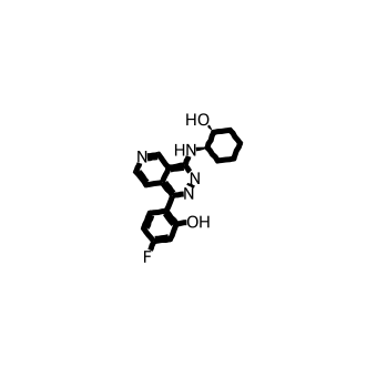 Oc1cc(F)ccc1-c1nnc(N[C@@H]2CCCC[C@H]2O)c2cnccc12